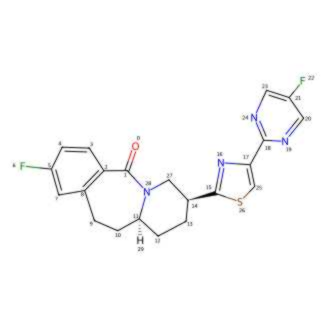 O=C1c2ccc(F)cc2CC[C@@H]2CC[C@H](c3nc(-c4ncc(F)cn4)cs3)CN12